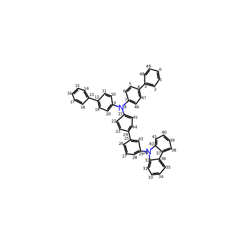 c1ccc(-c2ccc(N(c3ccc(-c4ccccc4)cc3)c3ccc(-c4cccc(-n5c6ccccc6c6ccccc65)c4)cc3)cc2)cc1